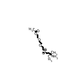 CC(=O)OCCOCCOCCS(=O)(=O)CCC(C)(C)N